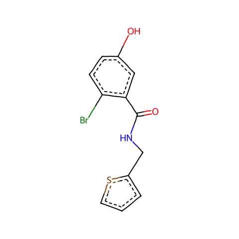 O=C(NCc1cccs1)c1cc(O)ccc1Br